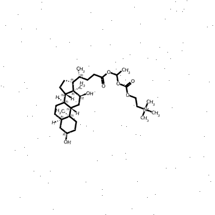 CC(OC(=O)CC[C@@H](C)[C@H]1CC[C@H]2[C@@H]3CC[C@@H]4C[C@H](O)CC[C@]4(C)[C@H]3C[C@H](O)[C@]12C)OC(=O)OCC[N+](C)(C)C